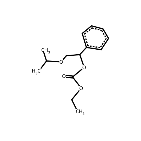 CCOC(=O)OC(COC(C)C)c1ccccc1